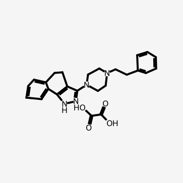 O=C(O)C(=O)O.c1ccc(CCN2CCN(c3n[nH]c4c3CCc3ccccc3-4)CC2)cc1